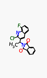 CC(c1cc2cccc(F)c2nc1Cl)N1C(=O)c2ccccc2C1=O